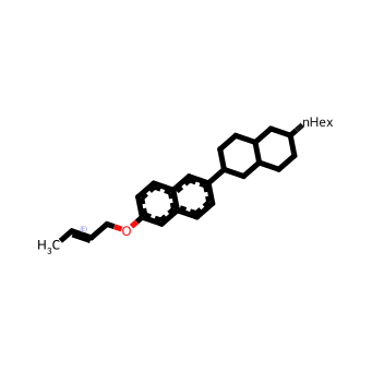 C/C=C/COc1ccc2cc(C3CCC4CC(CCCCCC)CCC4C3)ccc2c1